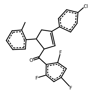 Cc1ccccc1C1CC(c2ccc(Cl)cc2)=CC1C(=O)c1c(F)cc(F)cc1F